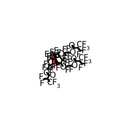 CCOC1(F)C2(OC(F)(F)C(F)(F)OC(=O)C(=C(F)F)C(F)(F)F)C(F)(F)C3(F)C(F)(F)C(OC(F)(F)C(F)(F)OC(=O)C(=C(F)F)C(F)(F)F)(C2(F)F)C(F)(F)C1(OC(F)(F)C(F)(F)OC(=O)C(=C(F)F)C(F)(F)F)C3(F)F